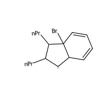 CCCC1[C]C2C=CC=CC2(Br)C1CCC